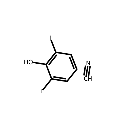 C#N.Oc1c(I)cccc1I